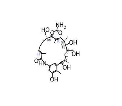 C/C1=C\CC[C@H](CO)[C@@H](OC(N)=O)/C(C)=C/[C@H](C)[C@@H](O)[C@@H](CO)C[C@H](C)[C@@H](O)c2cc(cc(O)c2C)NC1=O